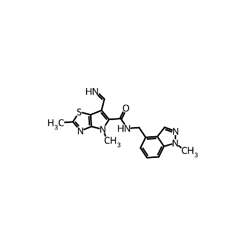 Cc1nc2c(s1)c(C=N)c(C(=O)NCc1cccc3c1cnn3C)n2C